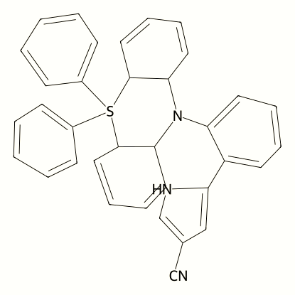 N#Cc1c[nH]c(-c2ccccc2N2C3C=CC=CC3S(c3ccccc3)(c3ccccc3)C3C=CC=CC32)c1